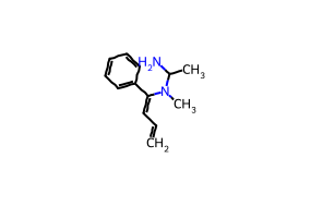 C=C/C=C(/c1ccccc1)N(C)C(C)N